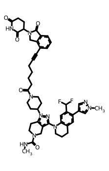 CNC(=O)N1CCc2c(c(N3CCCc4cc(-c5cnn(C)c5)c(C(F)F)cc43)nn2C2CCN(C(=O)CCCCC#Cc3cccc4c3CN(C3CCC(=O)NC3=O)C4=O)CC2)C1